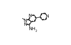 Cn1nc(N)c2cc(-c3ccncc3)cnc21